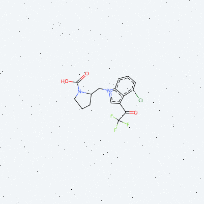 O=C(O)N1CCCC1Cn1cc(C(=O)C(F)(F)F)c2c(Cl)cccc21